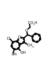 CCCc1cc(Cl)c2oc(C(OCC(=O)O)c3ccccc3)c(C)c2c1O